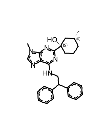 C[C@@H]1CCC[C@@](O)(c2nc(NCC(c3ccccc3)c3ccccc3)c3ncn(C)c3n2)C1